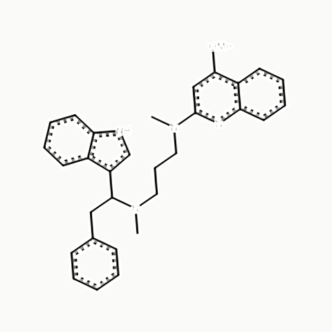 COc1cc(N(C)CCCN(C)C(Cc2ccccc2)c2c[nH]c3ccccc23)nc2ccccc12